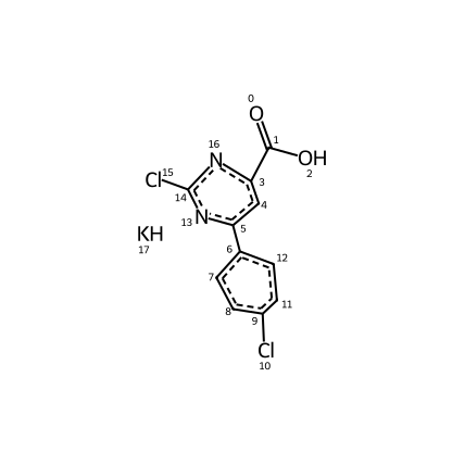 O=C(O)c1cc(-c2ccc(Cl)cc2)nc(Cl)n1.[KH]